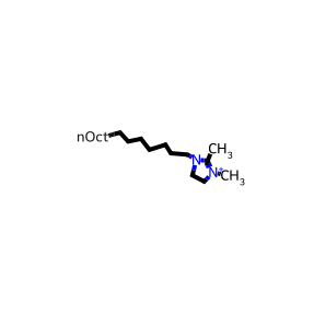 CCCCCCCCCCCCCCCN1CC[N+](C)=C1C